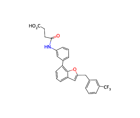 O=C(O)CCC(=O)Nc1cccc(-c2cccc3cc(Cc4cccc(C(F)(F)F)c4)oc23)c1